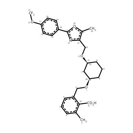 Cc1cccc(CO[C@@H]2CCC[C@H](OCc3nc(-c4ccc(OC(F)(F)F)cc4)oc3C)C2)c1C(=O)O